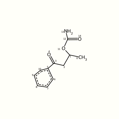 CC(CC(=O)c1ccccc1)OC(N)=O